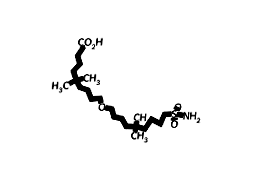 CC(C)(CCCCOCCCCC(C)(C)CCCCS(N)(=O)=O)CCCCC(=O)O